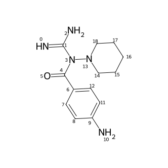 N=C(N)N(C(=O)c1ccc(N)cc1)N1CCCCC1